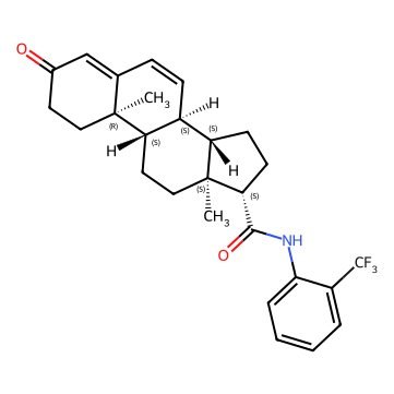 C[C@]12CC[C@H]3[C@@H](C=CC4=CC(=O)CC[C@@]43C)[C@@H]1CC[C@@H]2C(=O)Nc1ccccc1C(F)(F)F